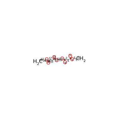 C=CCOC(=O)CCC(=O)OCCOC(=O)CCC(=O)OCC=C